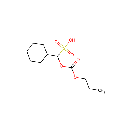 CCCOC(=O)OC(C1CCCCC1)S(=O)(=O)O